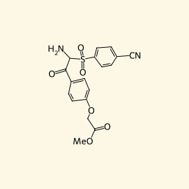 COC(=O)COc1ccc(C(=O)C(N)S(=O)(=O)c2ccc(C#N)cc2)cc1